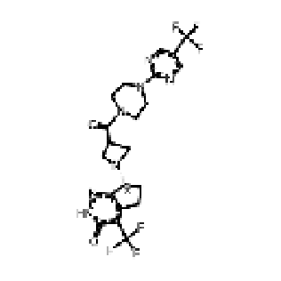 O=C(C1CN([C@@H]2CCc3c2n[nH]c(=O)c3C(F)(F)F)C1)N1CCN(c2ncc(C(F)(F)F)cn2)CC1